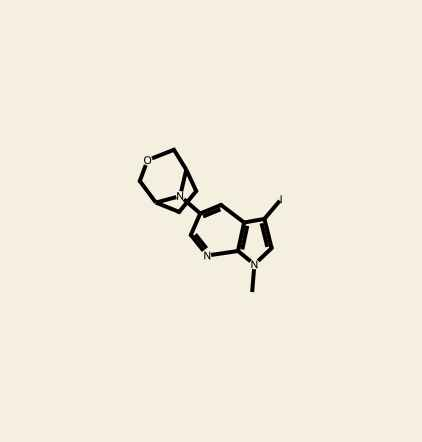 Cn1cc(I)c2cc(N3C4CCC3COC4)cnc21